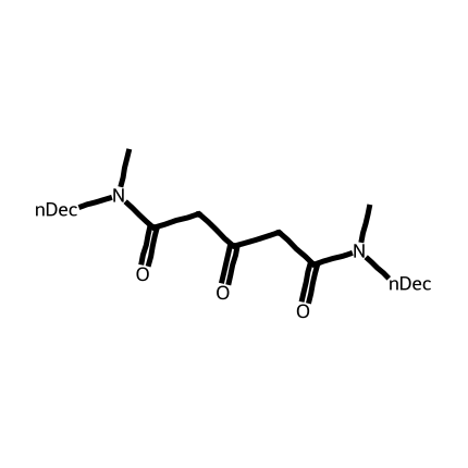 CCCCCCCCCCN(C)C(=O)CC(=O)CC(=O)N(C)CCCCCCCCCC